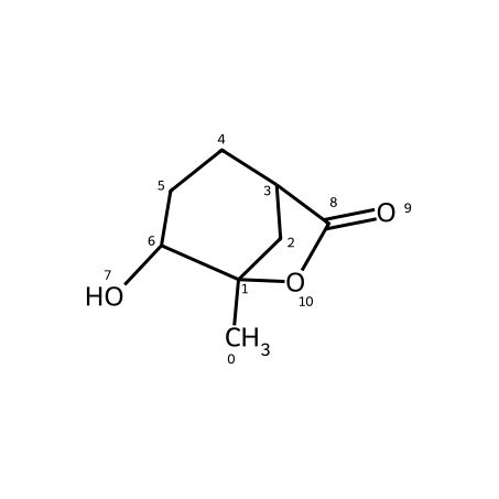 CC12CC(CCC1O)C(=O)O2